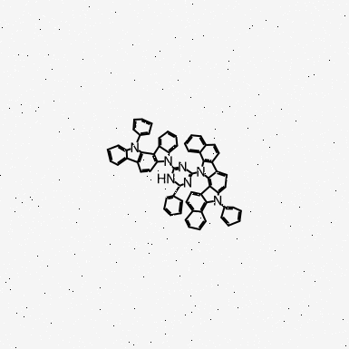 c1ccc(C2N=C(n3c4c5ccccc5ccc4c4ccc5c(c6ccc7ccccc7c6n5-c5ccccc5)c43)N=C(n3c4ccccc4c4c3ccc3c5ccccc5n(-c5ccccc5)c34)N2)cc1